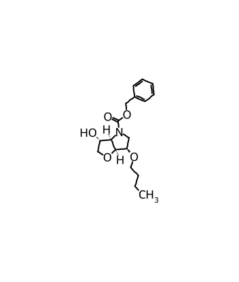 CCCCO[C@@H]1CN(C(=O)OCc2ccccc2)[C@H]2[C@@H]1OC[C@@H]2O